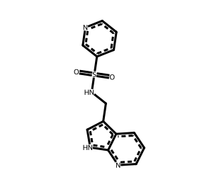 O=S(=O)(NCc1c[nH]c2ncccc12)c1cccnc1